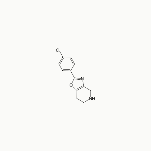 Clc1ccc(-c2nc3c(o2)CCNC3)cc1